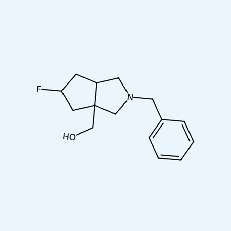 OCC12CC(F)CC1CN(Cc1ccccc1)C2